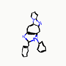 c1ccc(-c2nc3cc4c(cc3n2-c2ccccc2)nc2ccccn24)cc1